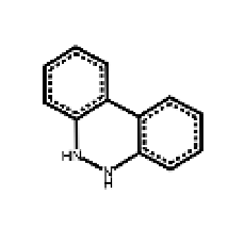 c1ccc2c(c1)NNc1ccccc1-2